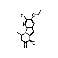 CCOc1cc2cc3n(c2nc1Cl)[C@H](C)CNC3=O